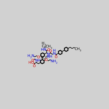 CCCCc1ccc(-c2ccc(C(=O)NCC(=O)N(NC)C(C(=O)NC(C)C)c3ccc(OCCN)c(-c4cc(CC(NC=O)C(=O)O)ccc4OCCN)c3)cc2)cc1